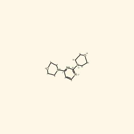 c1cc(N2CCOCC2)nc(N2CCOCC2)n1